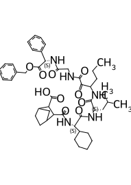 CCCC(NC(=O)[C@H](CC(C)C)NC(=O)[C@@H](NC(=O)C1C2CCC(C2)C1C(=O)O)C1CCCCC1)C(=O)C(=O)NCC(=O)N[C@H](C(=O)OCc1ccccc1)c1ccccc1